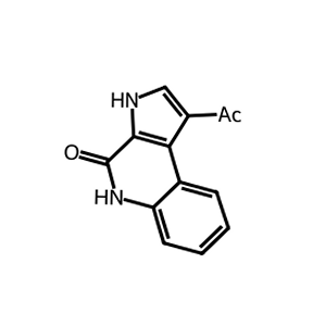 CC(=O)c1c[nH]c2c(=O)[nH]c3ccccc3c12